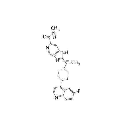 CNC(=O)c1cc2[nH]c([C@H](C)[C@H]3CC[C@@H](c4ccnc5ccc(F)cc54)CC3)nc2cn1